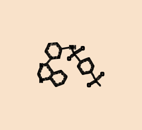 CS(=O)(=O)c1ccc(S(=O)(=O)Nc2cccc(-c3ncnc4ccccc34)c2)cc1